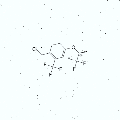 C[C@H](OC1=CC(C(F)(F)F)=C(CCl)CC1)C(F)(F)F